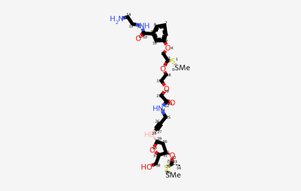 CSSC(COc1cccc(C(=O)NCCN)c1)OCCOCC(=O)NCC#CB[C@H]1C[C@@H](O[C@H](C)SSC)C(CO)O1